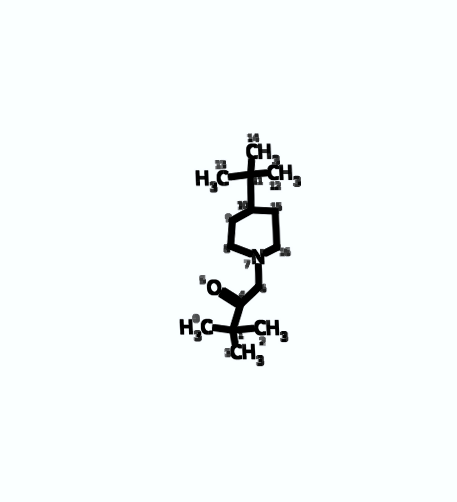 CC(C)(C)C(=O)CN1CCC(C(C)(C)C)CC1